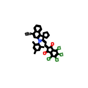 Cc1cc(C)c(N2/C(=C\C=C3C(=O)c4c(Cl)c(Cl)c(Cl)c(Cl)c4C3=O)C3(CCCC3)c3c2cc(C(C)(C)C)c2ccccc32)c(C)c1